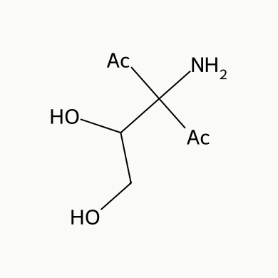 CC(=O)C(N)(C(C)=O)C(O)CO